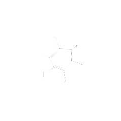 CC1=C(C)[C@@H](C)C(C)C(C)=C1F